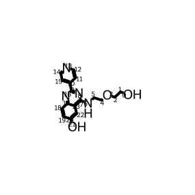 OCCOCCNc1nc(-c2ccncc2)nc2ccc(O)cc12